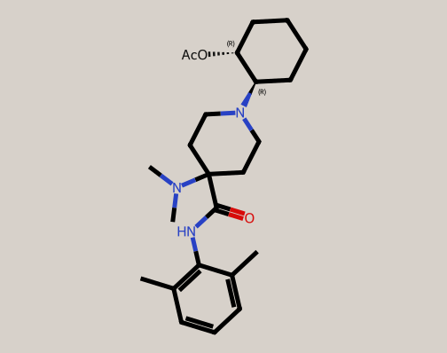 CC(=O)O[C@@H]1CCCC[C@H]1N1CCC(C(=O)Nc2c(C)cccc2C)(N(C)C)CC1